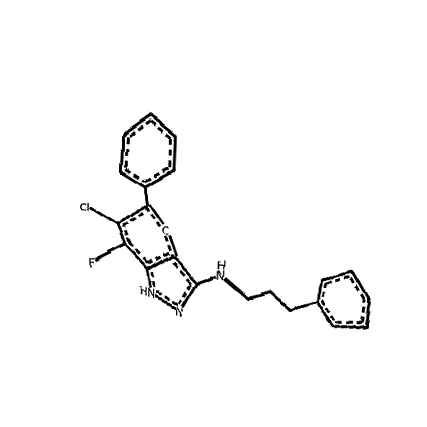 Fc1c(Cl)c(-c2ccccc2)cc2c(NCCCc3ccccc3)n[nH]c12